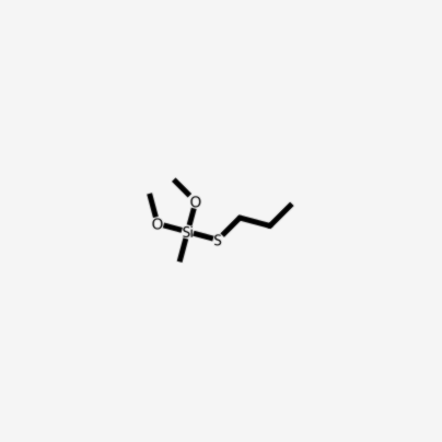 CCCS[Si](C)(OC)OC